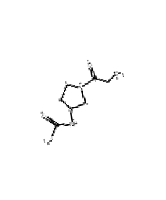 CCC(=O)N1CCC(NC(=O)O)C1